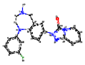 CN1CCN(c2cccc(F)c2)c2ccc(-n3nc4ccccn4c3=O)cc2C1